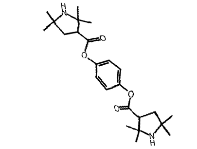 CC1(C)CC(C(=O)Oc2ccc(OC(=O)C3CC(C)(C)NC3(C)C)cc2)C(C)(C)N1